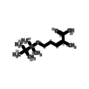 C/C(=C/CCO[Si](C)(C)C(C)(C)C)C(=O)O